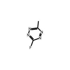 Cc1nnc(F)nn1